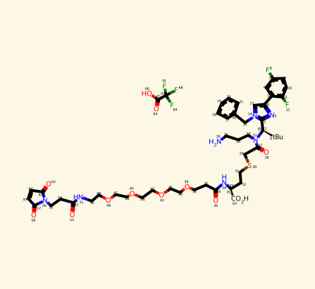 CC(C)(C)[C@H](c1nc(-c2cc(F)ccc2F)cn1Cc1ccccc1)N(CCCN)C(=O)CSCC[C@H](NC(=O)CCOCCOCCOCCOCCNC(=O)CCN1C(=O)C=CC1=O)C(=O)O.O=C(O)C(F)(F)F